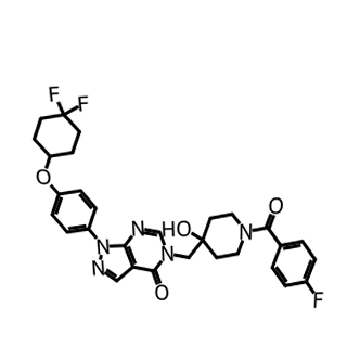 O=C(c1ccc(F)cc1)N1CCC(O)(Cn2cnc3c(cnn3-c3ccc(OC4CCC(F)(F)CC4)cc3)c2=O)CC1